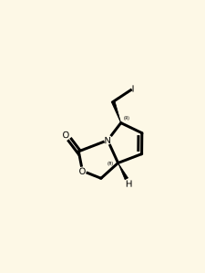 O=C1OC[C@H]2C=C[C@H](CI)N12